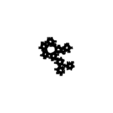 c1ccc(-n2c3ccc(-c4ccc5c(c4)-c4cc6oc7ccccc7c6cc4Oc4ccccc4-c4ccccc4-c4ccccc4-5)cc3c3cccnc32)nc1